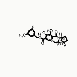 O=C(NCc1cc(F)cc(C(F)(F)F)c1)c1cn2c(c(O)c1=O)C(=O)N1[C@@H]3CC[C@@H](C3)O[C@H]1C2